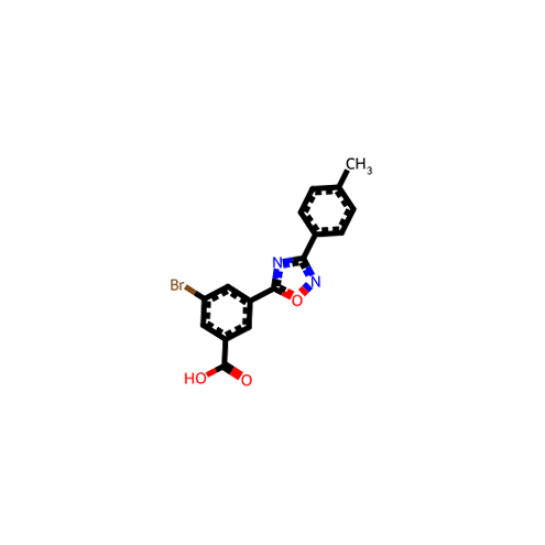 Cc1ccc(-c2noc(-c3cc(Br)cc(C(=O)O)c3)n2)cc1